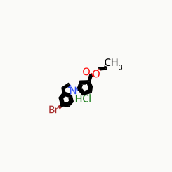 CCCOC(=O)c1cccc(N2CCc3cc(Br)ccc32)c1.Cl